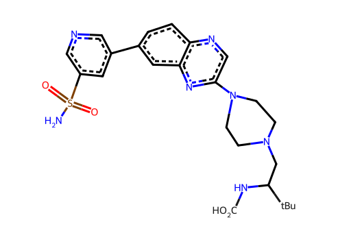 CC(C)(C)C(CN1CCN(c2cnc3ccc(-c4cncc(S(N)(=O)=O)c4)cc3n2)CC1)NC(=O)O